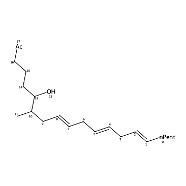 CCCCC/C=C/C/C=C/C/C=C/CC(C)C(O)CCCC(C)=O